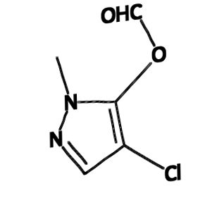 Cn1ncc(Cl)c1OC=O